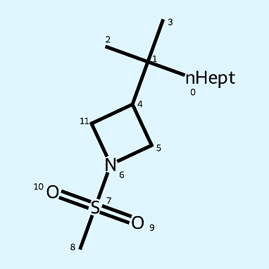 CCCCCCCC(C)(C)C1CN(S(C)(=O)=O)C1